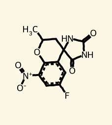 CC1CC2(NC(=O)NC2=O)c2cc(F)cc([N+](=O)[O-])c2O1